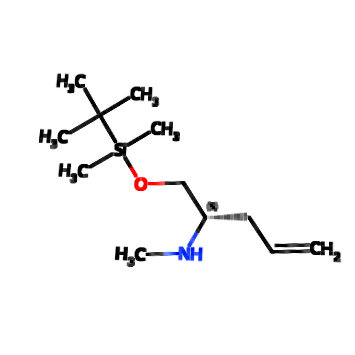 C=CC[C@@H](CO[Si](C)(C)C(C)(C)C)NC